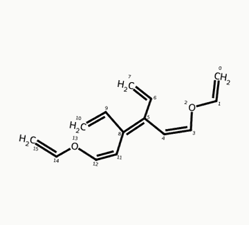 C=CO\C=C/C(C=C)=C(C=C)\C=C/OC=C